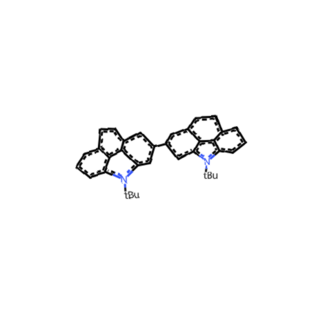 CC(C)(C)n1c2cccc3ccc4cc(-c5cc6ccc7cccc8c7c6c(c5)n8C(C)(C)C)cc1c4c32